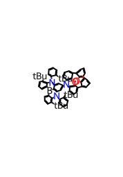 CC(C)(C)c1ccccc1N1c2cc(N(c3cccc4c3oc3ccccc34)c3cccc4c3oc3ccccc34)cc3c2B(c2cccc(C(C)(C)C)c21)c1cccc(C(C)(C)C)c1N3c1ccccc1C(C)(C)C